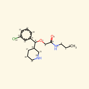 CCCNC(=O)COC(c1cccc(Cl)c1)C1CCCNC1